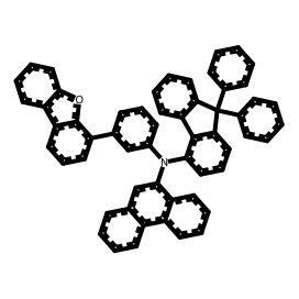 c1ccc(C2(c3ccccc3)c3ccccc3-c3c(N(c4cccc(-c5cccc6c5oc5ccccc56)c4)c4cc5ccccc5c5ccccc45)cccc32)cc1